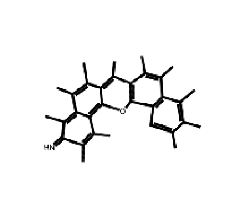 Cc1cc2c(c(C)c1C)c(C)c(C)c1c(C)c3c(C)c(C)c4c(C)c(=N)c(C)c(C)c4c3oc12